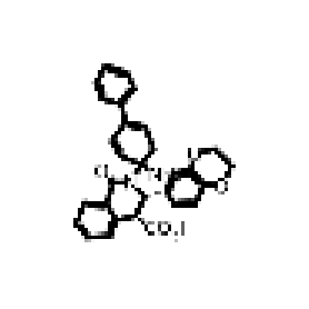 CC(=O)NC1(N2C(=O)c3ccccc3[C@H](C(=O)O)[C@H]2c2ccc3c(c2)OCCO3)C=CC(c2ccccc2)=CC1